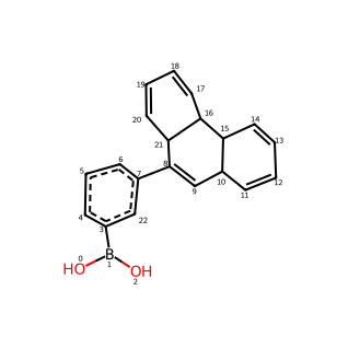 OB(O)c1cccc(C2=CC3C=CC=CC3C3C=CC=CC23)c1